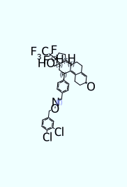 C[C@]12C[C@H](c3ccc(/C=N/OCc4ccc(Cl)c(Cl)c4)cc3)C3=C4CCC(=O)C=C4CC[C@H]3[C@@H]1CC[C@@]2(O)C(F)(F)C(F)(F)F